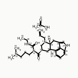 C=CCN1C[C@H](C(=O)N(CCCN(C)C)C(=O)NCC)C[C@@H]2c3cccc4[nH]cc(c34)C[C@H]21.CC(=O)O